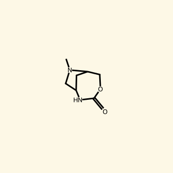 CN1CC2CC1COC(=O)N2